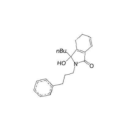 CCCCC1(O)C2=C(C=CCC2)C(=O)N1CCCc1ccccc1